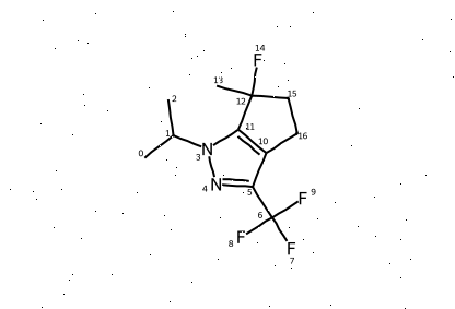 CC(C)n1nc(C(F)(F)F)c2c1C(C)(F)CC2